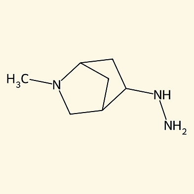 CN1CC2CC1CC2NN